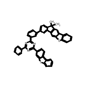 CC1(C)c2ccc(-c3cccc(-c4nc(-c5ccccc5)nc(-c5ccc6c(c5)sc5ccccc56)n4)c3)cc2-c2cc3oc4ccccc4c3cc21